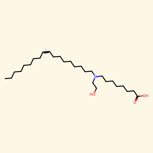 CCCCCCCC/C=C\CCCCCCCCN(CCO)CCCCCCCC(=O)O